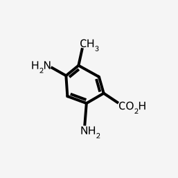 Cc1cc(C(=O)O)c(N)cc1N